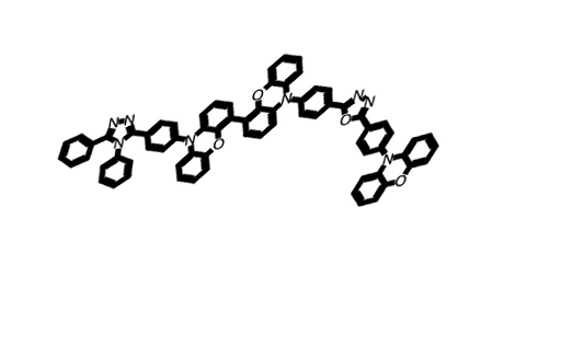 c1ccc(-c2nnc(-c3ccc(N4c5ccccc5Oc5c(-c6cccc7c6Oc6ccccc6N7c6ccc(-c7nnc(-c8ccc(N9c%10ccccc%10Oc%10ccccc%109)cc8)o7)cc6)cccc54)cc3)n2-c2ccccc2)cc1